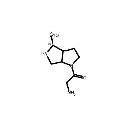 NCC(=O)N1CCC2C1CN[C@H]2C=O